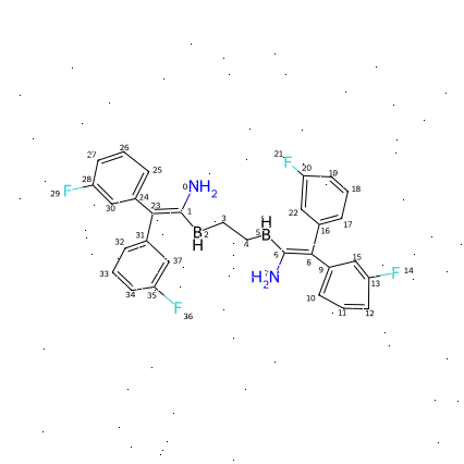 NC(BCCBC(N)=C(c1cccc(F)c1)c1cccc(F)c1)=C(c1cccc(F)c1)c1cccc(F)c1